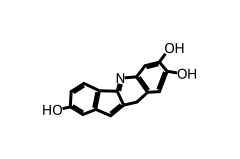 Oc1ccc2c(c1)C=C1Cc3cc(O)c(O)cc3N=C12